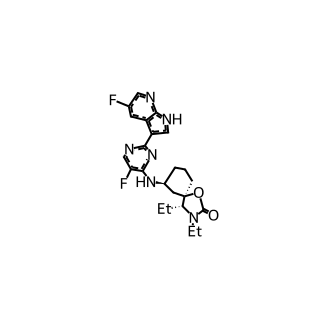 CC[C@H]1N(CC)C(=O)O[C@@]12CCC[C@H](Nc1nc(-c3c[nH]c4ncc(F)cc34)ncc1F)C2